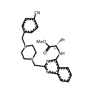 COC(=O)[C@@H](Nc1nc(CN2CCN(Cc3ccc(C#N)cc3)CC2)nc2ccccc12)C(C)C